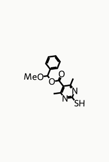 COC(OC(=O)c1c(C)nc(S)nc1C)c1ccccc1